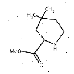 COC(=O)C1CC(C)(C)CCN1